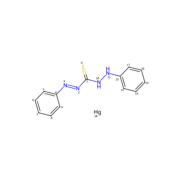 S=C(/N=N/c1ccccc1)NNc1ccccc1.[Hg]